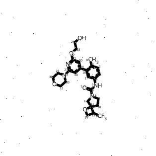 Cc1ccc(NC(=O)N2CCC3(C2)OCC3C(F)(F)F)cc1-c1cc(OCCO)nc(N2CCOCC2)c1